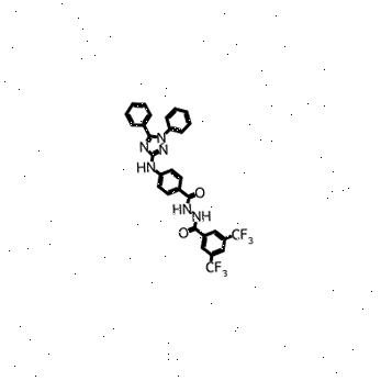 O=C(NNC(=O)c1cc(C(F)(F)F)cc(C(F)(F)F)c1)c1ccc(Nc2nc(-c3ccccc3)n(-c3ccccc3)n2)cc1